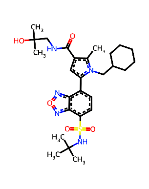 Cc1c(C(=O)NCC(C)(C)O)cc(-c2ccc(S(=O)(=O)NC(C)(C)C)c3nonc23)n1CC1CCCCC1